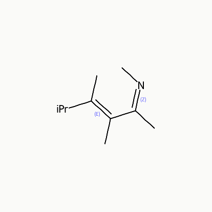 C/N=C(C)\C(C)=C(/C)C(C)C